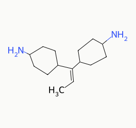 CC=C(C1CCC(N)CC1)C1CCC(N)CC1